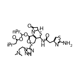 CCCC(OC(=O)CC(C)C)OC(=O)C1=C(CSc2nnnn2CCN(C)C)C(NC(=O)Cc2csc(N)n2)S[C@@H]2CC(=O)N12